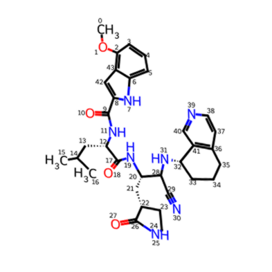 COc1cccc2[nH]c(C(=O)N[C@@H](CC(C)C)C(=O)N[C@@H](C[C@@H]3CCNC3=O)C(C#N)N[C@H]3CCCc4ccncc43)cc12